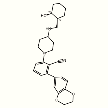 N#Cc1c(-c2ccc3c(c2)OCCO3)cccc1N1CCC(NC[C@@H]2CCCC[C@@H]2O)CC1